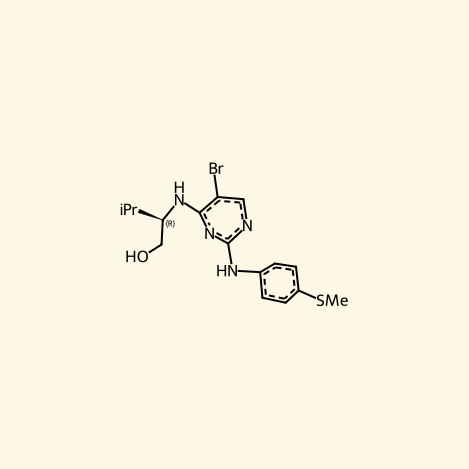 CSc1ccc(Nc2ncc(Br)c(N[C@@H](CO)C(C)C)n2)cc1